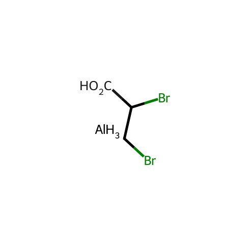 O=C(O)C(Br)CBr.[AlH3]